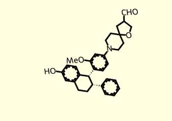 COc1cc(N2CCC3(CC2)CC(C=O)CO3)ccc1[C@H]1c2ccc(O)cc2CC[C@H]1c1ccccc1